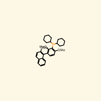 COc1ccc(-c2c(OC)ccc3ccccc23)c(OC)c1P(C1CCCCC1)C1CCCCC1